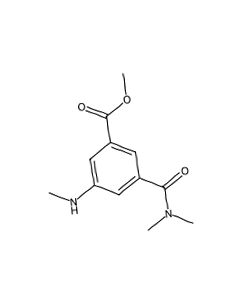 CNc1cc(C(=O)OC)cc(C(=O)N(C)C)c1